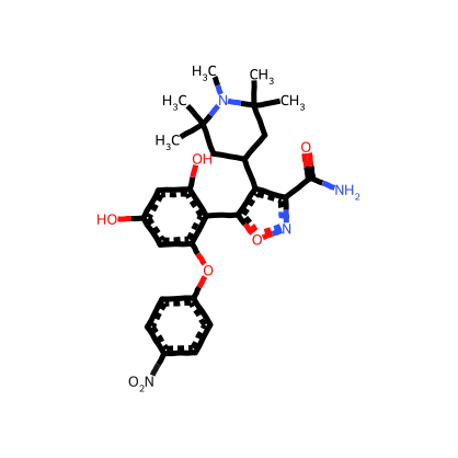 CN1C(C)(C)CC(c2c(C(N)=O)noc2-c2c(O)cc(O)cc2Oc2ccc([N+](=O)[O-])cc2)CC1(C)C